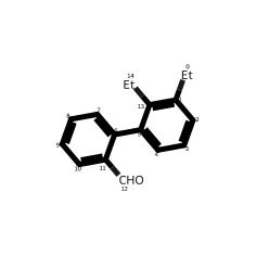 CCc1cccc(-c2ccccc2C=O)c1CC